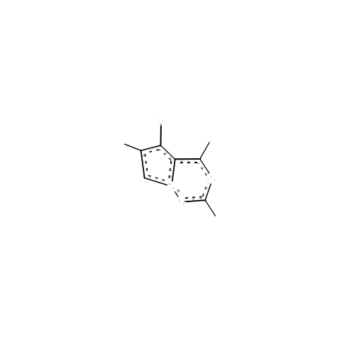 Fc1cn2nc(Cl)nc(Cl)c2c1Br